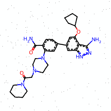 NC(=O)c1ccc(-c2cc(OC3CCCC3)c3c(N)n[nH]c3c2)cc1N1CCN(CC(=O)N2CCCCC2)CC1